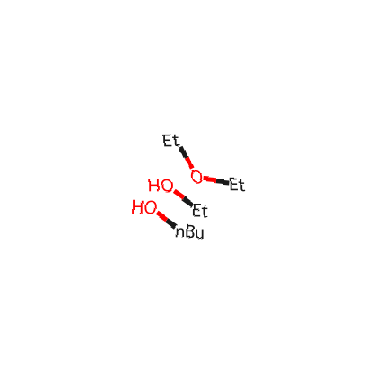 CCCCO.CCO.CCOCC